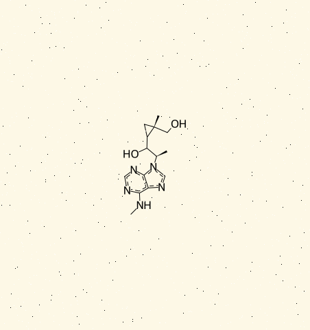 CNc1ncnc2c1ncn2[C@H](C)C(O)C1C[C@]1(C)CO